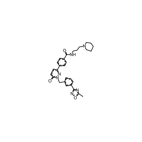 Cc1nc(-c2cccc(Cn3nc(-c4ccc(C(=O)NCCCN5CCCCC5)cc4)ccc3=O)c2)no1